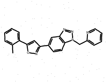 Cc1ccccc1-c1cc(-c2ccc3c(c2)nnn3Cc2ccccn2)no1